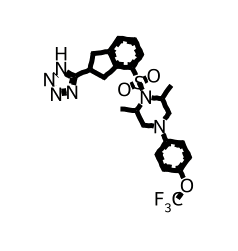 CC1CN(c2ccc(OC(F)(F)F)cc2)CC(C)N1S(=O)(=O)c1cccc2c1CC(c1nnn[nH]1)C2